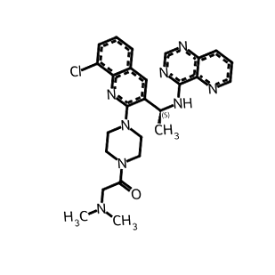 C[C@H](Nc1ncnc2cccnc12)c1cc2cccc(Cl)c2nc1N1CCN(C(=O)CN(C)C)CC1